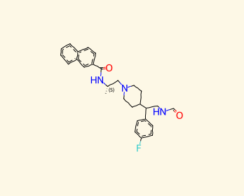 C[C@@H](CN1CCC(C(CNC=O)c2ccc(F)cc2)CC1)NC(=O)c1ccc2ccccc2c1